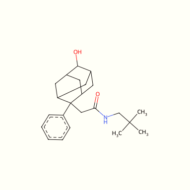 CC(C)(C)CNC(=O)CC1(c2ccccc2)C2CC3CC1CC(C2)C3O